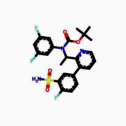 CC(c1ncccc1-c1ccc(F)c(S(N)(=O)=O)c1)N(C(=O)OC(C)(C)C)c1cc(F)cc(F)c1